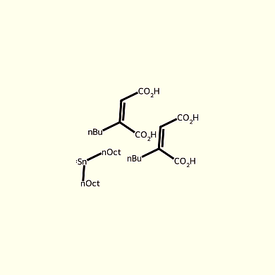 CCCC/C(=C/C(=O)O)C(=O)O.CCCC/C(=C/C(=O)O)C(=O)O.CCCCCCC[CH2][Sn][CH2]CCCCCCC